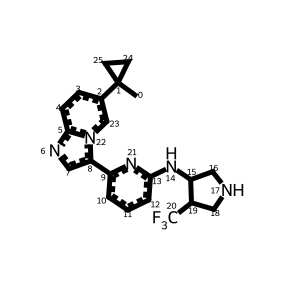 CC1(c2ccc3ncc(-c4cccc(NC5CNCC5C(F)(F)F)n4)n3c2)CC1